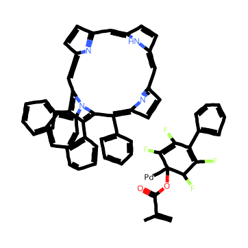 C1=Cc2cc3c(-c4ccccc4)c(-c4ccccc4)c(c(-c4ccccc4)c4nc(cc5ccc(cc1n2)[nH]5)C=C4)n3-c1ccccc1.C=C(C)C(=O)O[C]1([Pd])C(F)=C(F)C(c2ccccc2)=C(F)C1F